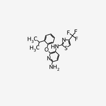 CC(C)c1ccccc1Oc1nc(N)ccc1Nc1nc(C(F)(F)F)cs1